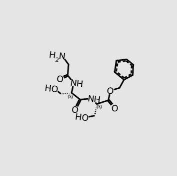 NCC(=O)N[C@@H](CO)C(=O)N[C@@H](CO)C(=O)OCc1ccccc1